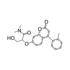 Cc1ccccc1-c1cc(=O)oc2cc(OC(CO)C(=O)N(C)C)ccc12